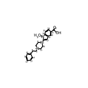 Cn1c(N2CCN(CCc3ccccc3)CC2)cc2cc(C(=O)O)ccc21